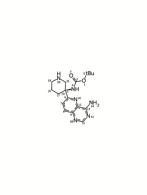 CC(C)(C)OC(=O)N[C@@]1(c2ccc3ncnc(N)c3n2)CCCNC1